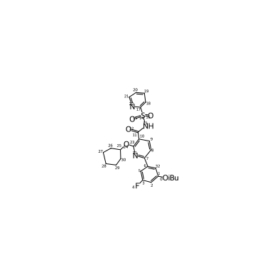 CC(C)COc1cc(F)cc(-c2ccc(C(=O)NS(=O)(=O)c3ccccn3)c(OC3CCCCC3)n2)c1